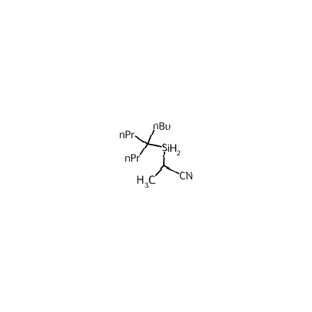 CCCCC(CCC)(CCC)[SiH2]C(C)C#N